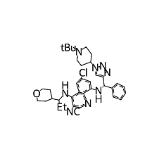 CCC(Nc1c(C#N)cnc2c(N[C@@H](c3ccccc3)c3cn(C4CCN(C(C)(C)C)CC4)nn3)cc(Cl)cc12)C1CCOCC1